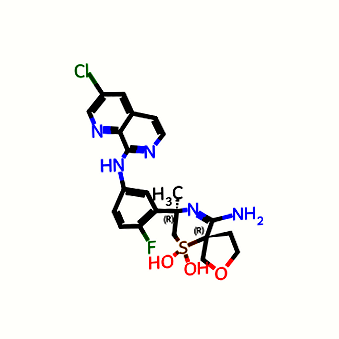 C[C@@]1(c2cc(Nc3nccc4cc(Cl)cnc34)ccc2F)CS(O)(O)[C@]2(CCOC2)C(N)=N1